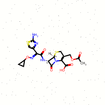 CC(=O)OCC1=C(C(=O)O)N2C(=O)[C@H](NC(=O)C(=NOC3CC3)c3csc(N)n3)[C@H]2SC1